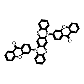 O=c1c2ccccc2oc2cc(-n3c4ccccc4sc4cc5c(cc43)sc3ccccc3n5-c3ccc4c(=O)c5ccccc5oc4c3)ccc12